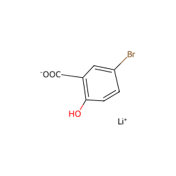 O=C([O-])c1cc(Br)ccc1O.[Li+]